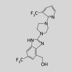 OCc1cc(C(F)(F)F)cc2[nH]c(N3CCN(c4ncccc4C(F)(F)F)CC3)nc12